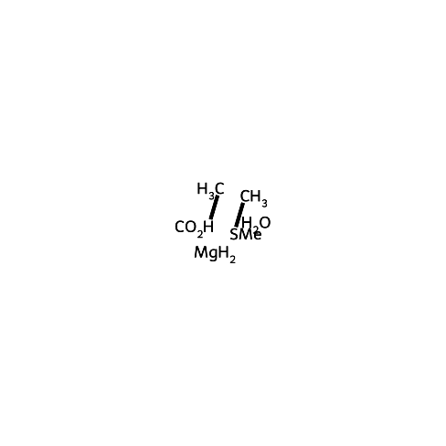 CC(=O)O.CSC.O.[MgH2]